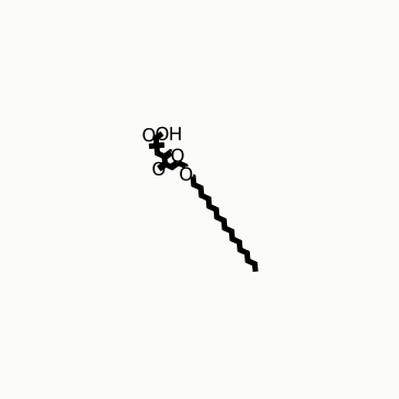 CCCCCCCCCCCCCCCCCCOCc1cc(=O)c(CC(C)(C)C(=O)O)co1